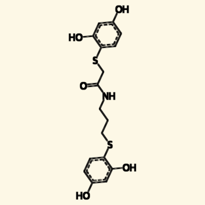 O=C(CSc1ccc(O)cc1O)NCCCSc1ccc(O)cc1O